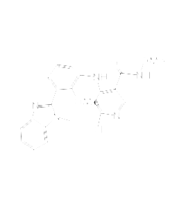 CONC(=O)c1cnc(Cl)cc1Nc1cccc(-c2nc3ccccc3n2C)c1OC